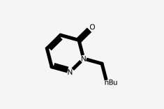 CCCCCn1ncccc1=O